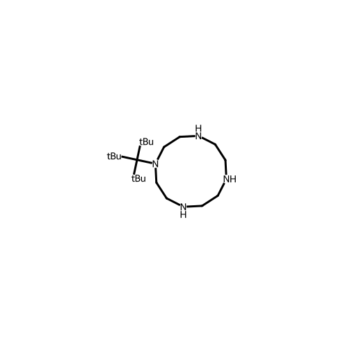 CC(C)(C)C(N1CCNCCNCCNCC1)(C(C)(C)C)C(C)(C)C